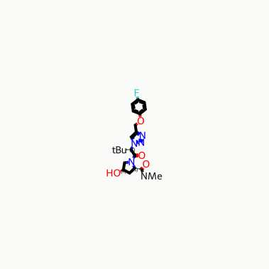 CNC(=O)[C@@H]1C[C@@H](O)CN1C(=O)[C@@H](n1cc(COc2ccc(F)cc2)nn1)C(C)(C)C